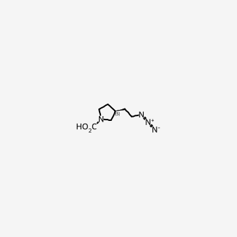 [N-]=[N+]=NCC[C@@H]1CCN(C(=O)O)C1